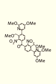 COCc1c(-c2cc(OC)cc(OC)n2)ccc(C(=O)c2ccc(-c3cc(OC)cc(OC)n3)c(COC)c2[N+](=O)[O-])c1[N+](=O)[O-]